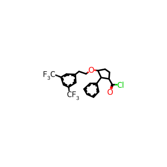 O=C(Cl)C1CCC(OCCc2cc(C(F)(F)F)cc(C(F)(F)F)c2)C1c1ccccc1